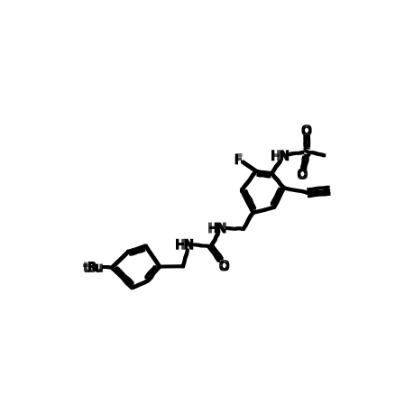 C#Cc1cc(CNC(=O)NCc2ccc(C(C)(C)C)cc2)cc(F)c1NS(C)(=O)=O